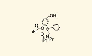 CC(C)C(=O)Oc1ccc(CO)cc1[C@H](CCN(C(=O)C(C)C)C(C)C)c1ccccc1